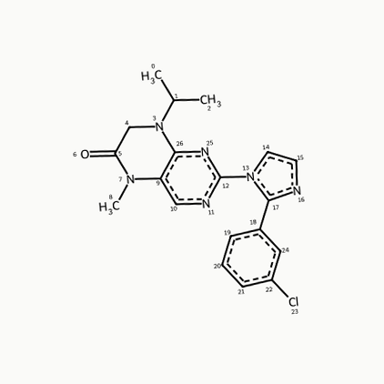 CC(C)N1CC(=O)N(C)c2cnc(-n3ccnc3-c3cccc(Cl)c3)nc21